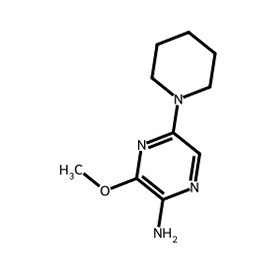 COc1nc(N2CCCCC2)cnc1N